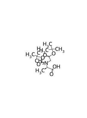 C[C@H](C(=O)O)N(CC(=O)OC(C)(C)C)C(=O)OC(C)(C)C